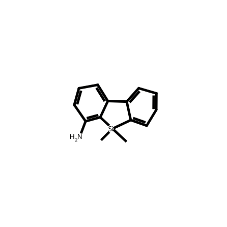 C[Si]1(C)c2ccccc2-c2cccc(N)c21